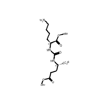 CC(C)(C)OC(=O)CC[C@H](NC(=O)N[C@@H](CCCCN)C(=O)OC(C)(C)C)C(=O)O